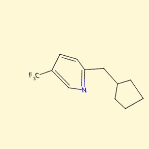 FC(F)(F)c1ccc(CC2CCCC2)nc1